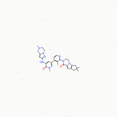 Cc1c(-c2cc(Nc3cc4n(n3)CCN(C)C4)c(=O)n(C)c2)ccnc1N1CCn2c(cc3c2CC(C)(C)C3)C1=O